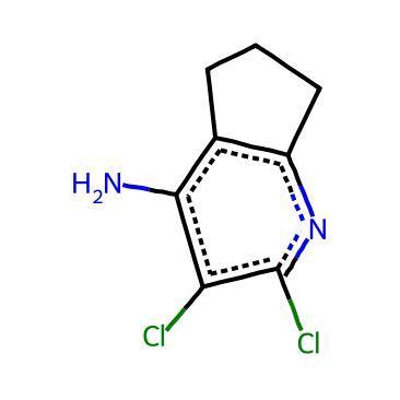 Nc1c(Cl)c(Cl)nc2c1CCC2